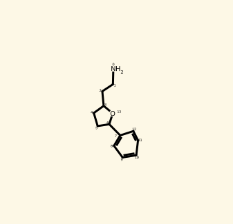 NCCC1CCC(c2ccccc2)O1